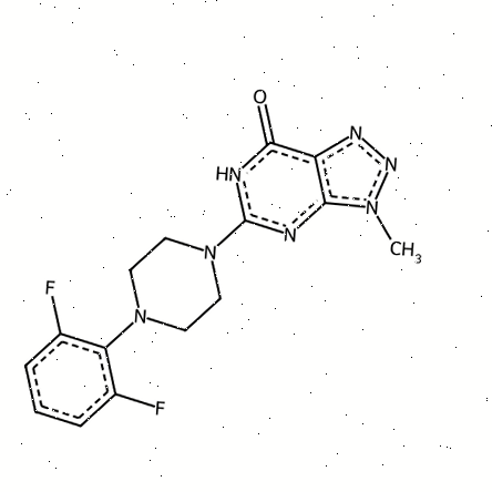 Cn1nnc2c(=O)[nH]c(N3CCN(c4c(F)cccc4F)CC3)nc21